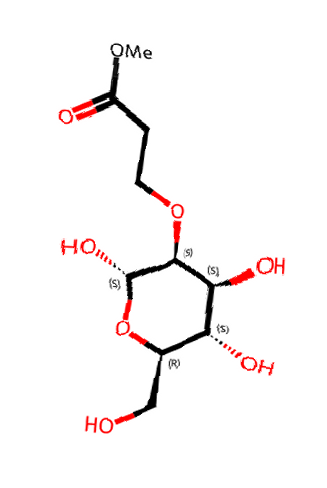 COC(=O)CCO[C@H]1[C@@H](O)[C@H](O)[C@@H](CO)O[C@@H]1O